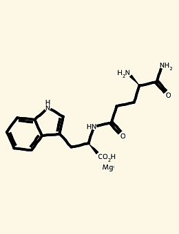 NC(=O)[C@H](N)CCC(=O)N[C@H](Cc1c[nH]c2ccccc12)C(=O)O.[Mg]